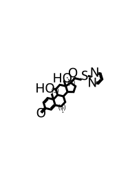 C[C@H]1CC2C([C@@H](O)CC3(C)C2CC[C@]3(O)C(=O)CSc2ncccn2)C2(C)C=CC(=O)C=C12